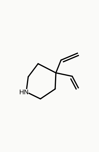 C=CC1(C=C)CCNCC1